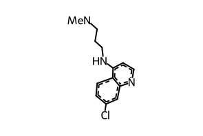 CNCCCNc1ccnc2cc(Cl)ccc12